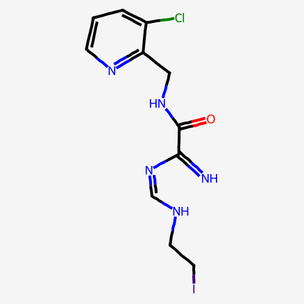 N=C(/N=C\NCCI)C(=O)NCc1ncccc1Cl